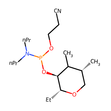 CCCN(CCC)P(OCCC#N)O[C@H]1C(C)[C@H](C)CO[C@@H]1CC